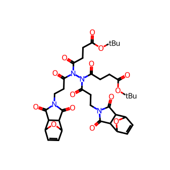 CC(C)(C)OC(=O)CCC(=O)N(C(=O)CCN1C(=O)C2C3C=CC(O3)C2C1=O)N(C(=O)CCC(=O)OC(C)(C)C)C(=O)CCN1C(=O)C2C3C=CC(O3)C2C1=O